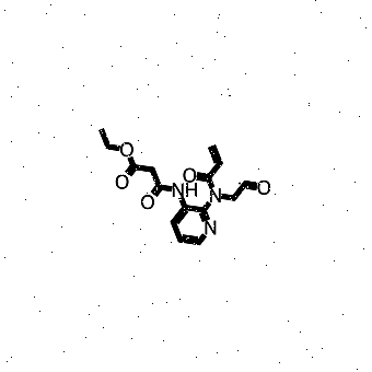 C=CC(=O)N(C[C]=O)c1ncccc1NC(=O)CC(=O)OCC